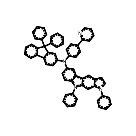 c1ccc(-n2ccc3cc4c5cc(N(c6ccc(-c7ccccn7)cc6)c6ccc7c(c6)C(c6ccccc6)(c6ccccc6)c6ccccc6-7)ccc5n(-c5ccccc5)c4cc32)cc1